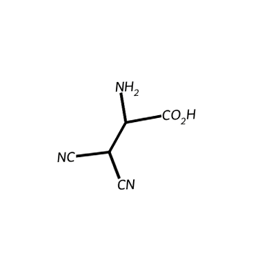 N#CC(C#N)C(N)C(=O)O